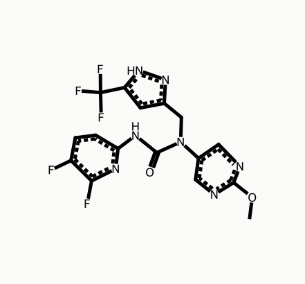 COc1ncc(N(Cc2cc(C(F)(F)F)[nH]n2)C(=O)Nc2ccc(F)c(F)n2)cn1